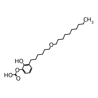 CCCCCCCCCCOCCCCCCc1cccc(OC(=O)O)c1O